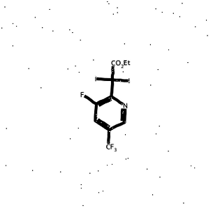 CCOC(=O)C(I)(I)c1ncc(C(F)(F)F)cc1F